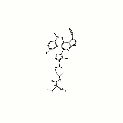 Cc1c(-c2cc(O[C@H](C)c3ccc(F)cn3)c3c(C#N)cnn3c2)cnn1C1CCC(OC(=O)[C@@H](N)C(C)C)CC1